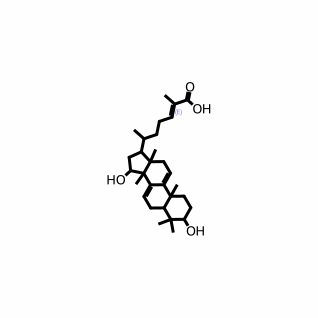 C/C(=C\CCC(C)C1CC(O)C2(C)C3=CCC4C(C)(CCC(O)C4(C)C)C3=CCC12C)C(=O)O